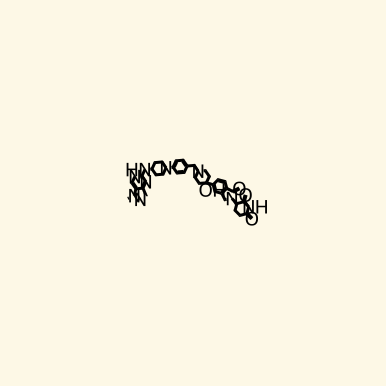 Cn1ncc2nc(NC3CCN(c4ccc(CN5CCC(O)(c6ccc7c(c6)CN(C6CCC(=O)NC6=O)C7=O)CC5)cc4)CC3)ncc21